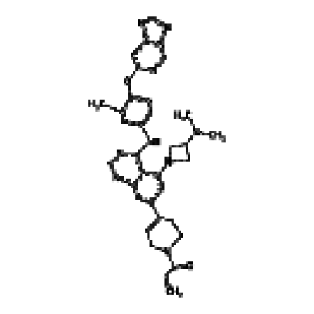 C=CC(=O)N1CC=C(c2cc(N3CC(N(C)C)C3)c3c(Nc4ccc(Oc5cc6ncnn6cn5)c(C)c4)ncnc3c2)CC1